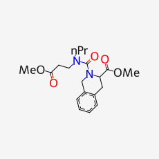 CCCN(CCC(=O)OC)C(=O)N1Cc2ccccc2CC1C(=O)OC